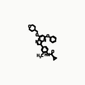 Cc1cc(-c2cnn3c(OCC4CCOCC4)cc(Oc4ccccc4)nc23)ccc1NC(=O)C1CC1